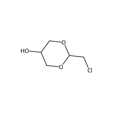 OC1COC(CCl)OC1